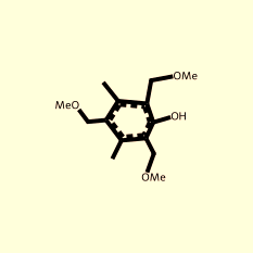 COCc1c(C)c(COC)c(O)c(COC)c1C